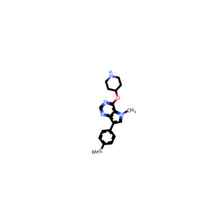 CSc1ccc(-c2cn(C)c3c(OC4CCNCC4)ncnc23)cc1